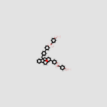 O=C(Oc1ccc(-c2ccc(CC3(Cc4ccc(-c5ccc(OC(=O)c6ccc(O)cc6)cc5)cc4)c4ccccc4-c4ccccc43)cc2)cc1)c1ccc(O)cc1